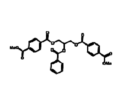 COC(=O)c1ccc(C(=O)OCC(COC(=O)c2ccc(C(=O)OC)cc2)OC(=O)c2ccccc2)cc1